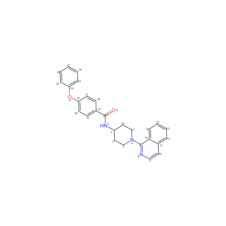 O=C(NC1CCN(c2nccc3ccccc23)CC1)c1ccc(Oc2ccccc2)cc1